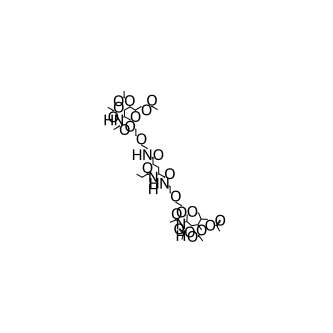 CCC(=O)NC(CCC(=O)NCCOCCOC1OC(COC(C)=O)C(OC(C)=O)C(OC(C)=O)C1NC(C)=O)C(=O)NCCOCCOC1OCC(COC(C)=O)C(OC(C)=O)C(OC(C)=O)C1NC(C)=O